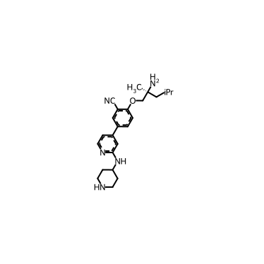 CC(C)C[C@](C)(N)COc1ccc(-c2ccnc(NC3CCNCC3)c2)cc1C#N